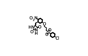 O=C1NC(=O)/C(=C\c2cc(OCCCS(=O)(=O)c3ccc(Cl)cc3)ccc2[N+](=O)[O-])N1